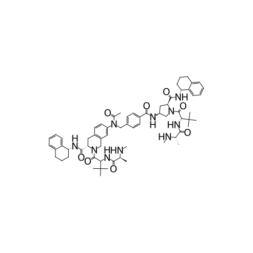 CN[C@@H](C)C(=O)NC(C(=O)N1Cc2cc(N(Cc3ccc(C(=O)N[C@H]4C[C@@H](C(=O)N[C@@H]5CCCc6ccccc65)N(C(=O)[C@@H](NC(=O)[C@H](C)NC)C(C)(C)C)C4)cc3)C(C)=O)ccc2C[C@H]1C(=O)N[C@@H]1CCCc2ccccc21)C(C)(C)C